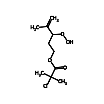 C=C(C)C(CCOC(=O)C(C)(C)Cl)OO